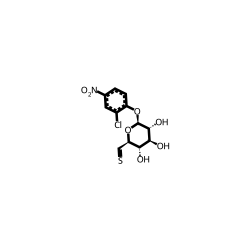 O=[N+]([O-])c1ccc(O[C@@H]2O[C@H](C=S)[C@@H](O)[C@H](O)[C@H]2O)c(Cl)c1